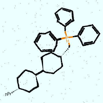 CCC[C@H]1CC[C@H]([C@H]2CC[C@H](C[PH](c3ccccc3)(c3ccccc3)c3ccccc3)CC2)CC1